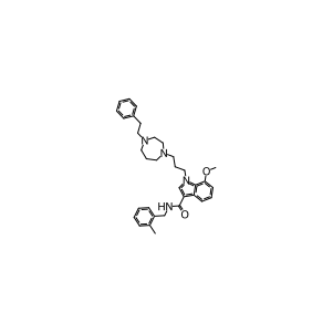 COc1cccc2c(C(=O)NCc3ccccc3C)cn(CCCN3CCCN(CCc4ccccc4)CC3)c12